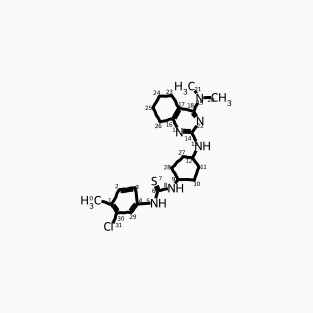 Cc1ccc(NC(=S)NC2CCC(Nc3nc4c(c(N(C)C)n3)CCCC4)CC2)cc1Cl